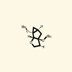 CC(C)(C)O[C@]12C[C@H]1C[C@@]1(OC(C)(C)C)[C@@H]2OC[C@H]1F